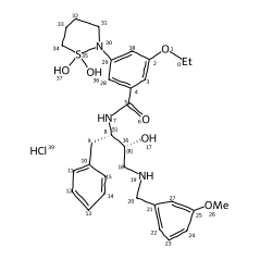 CCOc1cc(C(=O)N[C@@H](Cc2ccccc2)[C@H](O)CNCc2cccc(OC)c2)cc(N2CCCCS2(O)O)c1.Cl